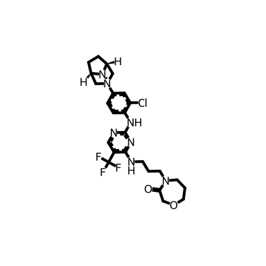 CN1[C@@H]2CC[C@H]1CN(c1ccc(Nc3ncc(C(F)(F)F)c(NCCCN4CCCOCC4=O)n3)c(Cl)c1)C2